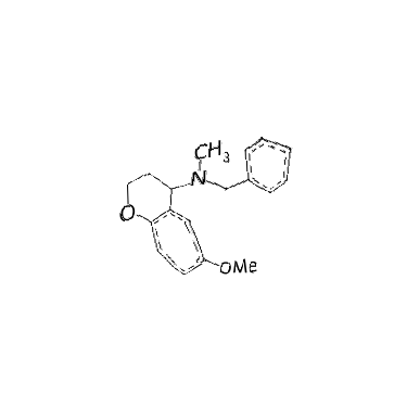 COc1ccc2c(c1)C(N(C)Cc1ccccc1)CCO2